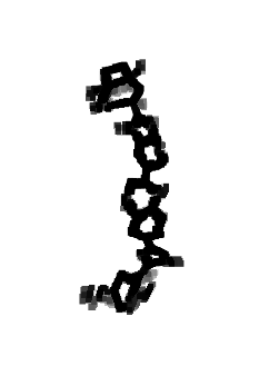 C[C@H]1CN[C@H](c2nc(-c3ccc4nc(-c5ccc6nc([C@@H]7C[C@H]8CC[C@H]8N7)[nH]c6c5)cnc4c3)c[nH]2)C1